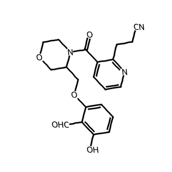 N#CCCc1ncccc1C(=O)N1CCOCC1COc1cccc(O)c1C=O